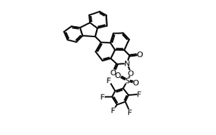 O=C1c2cccc3c(C4c5ccccc5-c5ccccc54)ccc(c23)C(=O)N1OS(=O)(=O)c1c(F)c(F)c(F)c(F)c1F